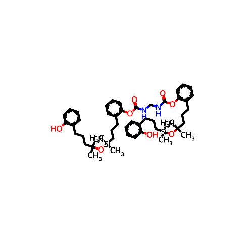 CC(C)(CCCc1ccccc1OC(=O)NCNC(=O)Oc1ccccc1CCC[Si](C)(C)OC(C)(C)CCCc1ccccc1O)O[Si](C)(C)CCCc1ccccc1O